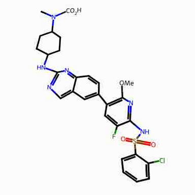 COc1nc(NS(=O)(=O)c2ccccc2Cl)c(F)cc1-c1ccc2nc(NC3CCC(N(C)C(=O)O)CC3)ncc2c1